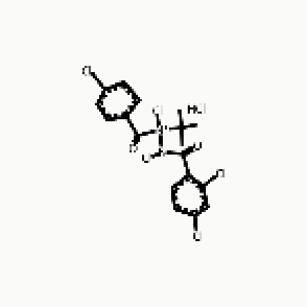 CC(C)(C)[N+](Cl)(C(=O)c1ccc(Cl)cc1)N(Cl)C(=O)c1ccc(Cl)cc1Cl.Cl